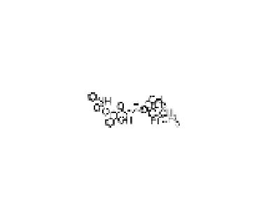 CCC(C)(C)c1ccc(OCCCCNC(=O)c2cc(OCC(=O)Nc3ccccc3)c3ccccc3c2O)c(C(C)(C)CC)c1